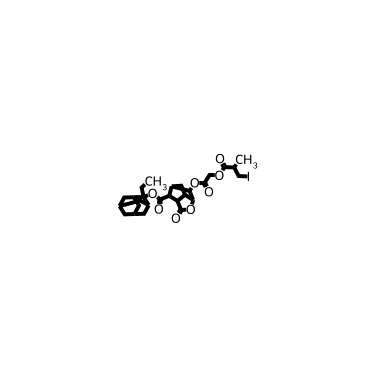 CCC1(OC(=O)C2C3CC4C(OC(=O)C42)C3OC(=O)COC(=O)C(C)CI)C2CC3CC(C2)CC1C3